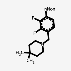 CCCCCCCCCc1ccc(CN2CCC(C)(C)CC2)c(F)c1F